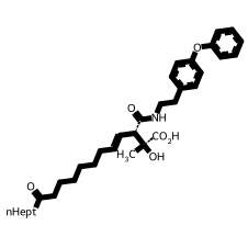 CCCCCCCC(=O)CCCCCC/C=C/[C@H](C(=O)NCCc1ccc(Oc2ccccc2)cc1)[C@](C)(O)C(=O)O